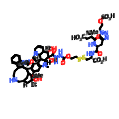 CC[C@@]1(O)CC2C[C@H](CNCCc3c([nH]c4ccccc34)[C@@]2(C(=O)OC)c2cc3c(cc2OC)N(C)[C@H]2[C@@](O)(C(=O)NNC(=O)OCCSSC[C@H](NC(=O)[C@H](Cc4cn(CCOS(=O)(=O)O)nn4)NC(=O)[C@H](CC(=O)O)NC)C(=O)O)[C@H](O)[C@]4(CC)C=CCN5CC[C@]32[C@@H]54)C1